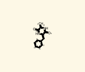 C=c1[nH]c(=O)c(=Cc2ccccc2)[nH]c1=O